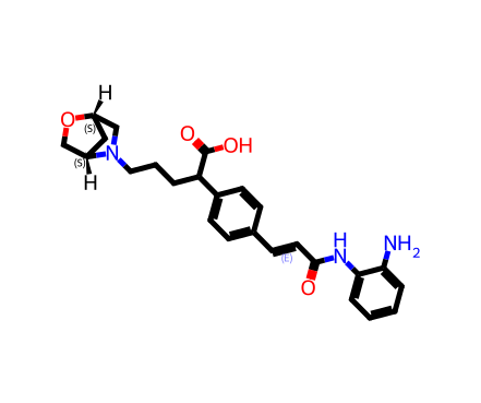 Nc1ccccc1NC(=O)/C=C/c1ccc(C(CCCN2C[C@@H]3C[C@H]2CO3)C(=O)O)cc1